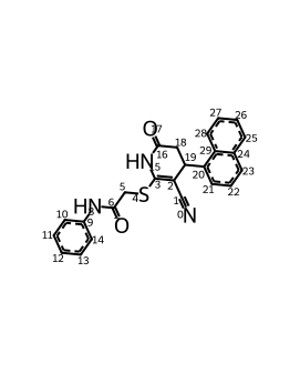 N#CC1=C(SCC(=O)Nc2ccccc2)NC(=O)CC1c1cccc2ccccc12